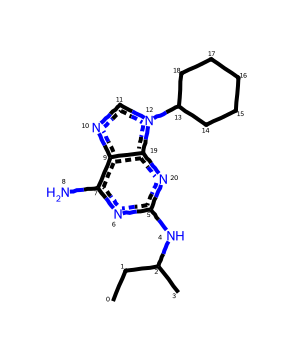 CCC(C)Nc1nc(N)c2ncn(C3CCCCC3)c2n1